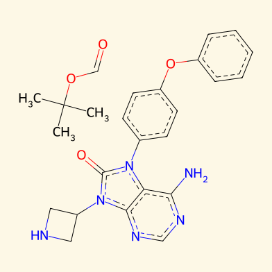 CC(C)(C)OC=O.Nc1ncnc2c1n(-c1ccc(Oc3ccccc3)cc1)c(=O)n2C1CNC1